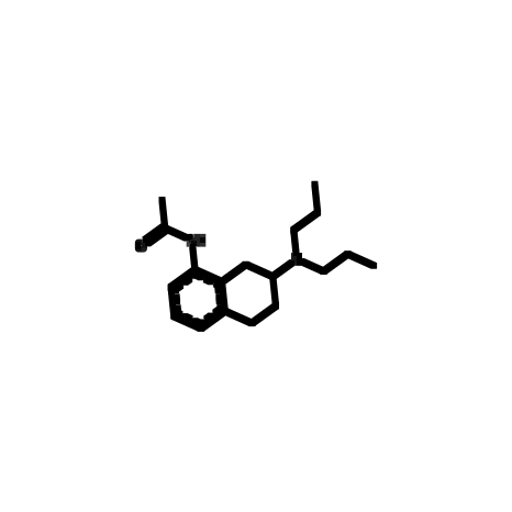 CCCN(CCC)C1CCc2cccc(NC(C)=O)c2C1